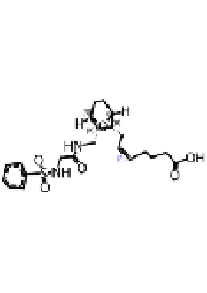 O=C(O)CCC/C=C\C[C@@H]1[C@H](CNC(=O)CNS(=O)(=O)c2ccccc2)[C@@H]2CC[C@H]1O2